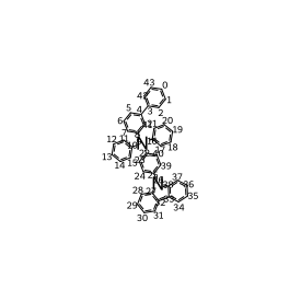 c1ccc(-c2cccc([N+](c3ccccc3)(c3ccccc3)c3ccc(-n4c5ccccc5c5ccccc54)cc3)c2)cc1